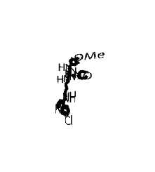 COc1ccc(Nc2nc(NCCCCNc3ccnc4cc(Cl)ccc34)nc(N3CCOCC3)n2)cc1